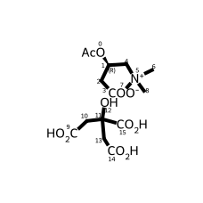 CC(=O)O[C@H](CC(=O)[O-])C[N+](C)(C)C.O=C(O)CC(O)(CC(=O)O)C(=O)O